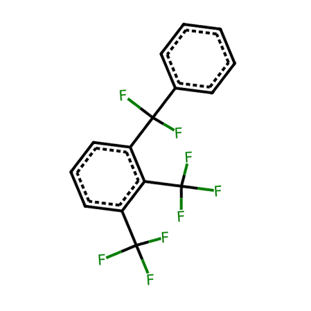 FC(F)(F)c1cccc(C(F)(F)c2ccccc2)c1C(F)(F)F